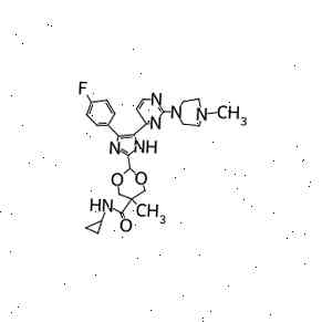 CN1CCN(c2nccc(-c3[nH]c(C4OCC(C)(C(=O)NC5CC5)CO4)nc3-c3ccc(F)cc3)n2)CC1